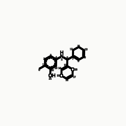 Cc1ccc(NC(C2=CC=CCC2)C2=COC=CO2)cc1O